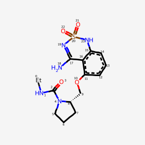 CCNC(=O)N1CCC[C@H]1COc1cccc2c1C(N)=NS(=O)(=O)N2